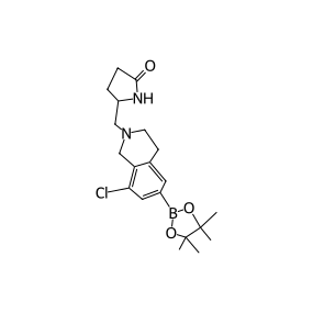 CC1(C)OB(c2cc(Cl)c3c(c2)CCN(CC2CCC(=O)N2)C3)OC1(C)C